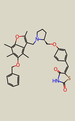 Cc1oc2c(C)c(C)c(OCc3ccccc3)c(C)c2c1CN1CCC[C@H]1COc1ccc(C=C2SC(=O)NC2=O)cc1